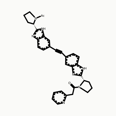 CC(=O)N1CCC[C@H]1c1nc2ccc(C#Cc3ccc4[nH]c([C@@H]5CCCN5C(=O)Cc5ccccn5)nc4c3)cc2[nH]1